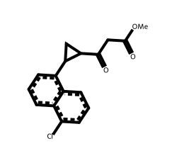 COC(=O)CC(=O)C1CC1c1cccc2c(Cl)cccc12